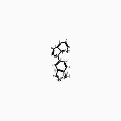 [c]1cnc2c(c1)ccn2-c1ccc2[nH]ncc2c1